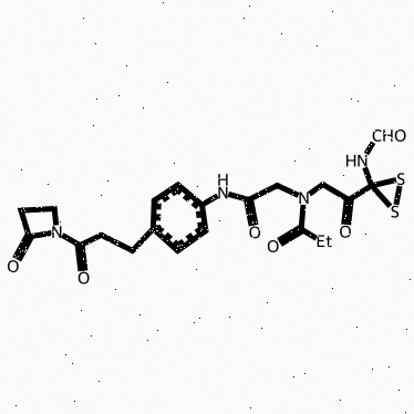 CCC(=O)N(CC(=O)Nc1ccc(CCC(=O)N2CCC2=O)cc1)CC(=O)C1(NC=O)SS1